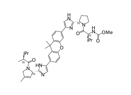 COC(=O)N[C@H](C(=O)N1CCC[C@H]1c1nc(-c2ccc3c(c2)Oc2ccc(-c4cnc([C@@H]5C=C(C)CN5C(=O)[C@@H](C)C(C)C)[nH]4)cc2C3(C)C)c[nH]1)C(C)C